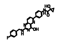 O=C(Nc1ccc(-c2ccc3nc(NCc4ccc(F)cc4)nc(O)c3n2)cc1)C1(O)CC1